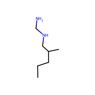 CCCC(C)CNCN